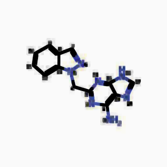 Nc1nc(Cn2ncc3ccccc32)nc2[nH]cnc12